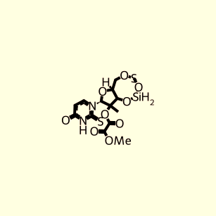 COC(=O)C(=O)OC1(C)C2O[SiH2]OSOC[C@H]2O[C@H]1n1ccc(=O)[nH]c1=S